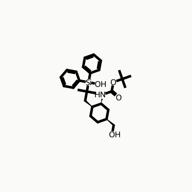 CC(C)(C)OC(=O)N[C@@H]1C[C@@H](CO)CC[C@H]1CC(C)(C)[Si](O)(c1ccccc1)c1ccccc1